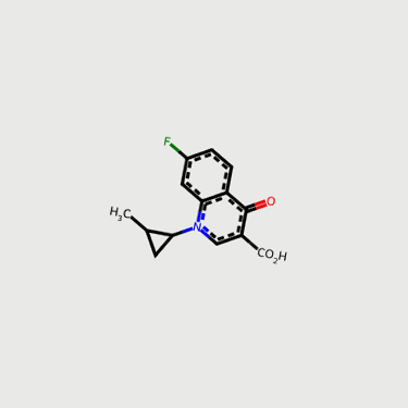 CC1CC1n1cc(C(=O)O)c(=O)c2ccc(F)cc21